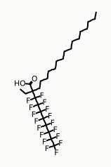 CCCCCCCCCCCCCCCCC(CC)(C(=O)O)C(F)(F)C(F)(F)C(F)(F)C(F)(F)C(F)(F)C(F)(F)C(F)(F)C(F)(F)F